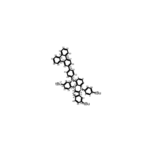 CC(C)(C)c1ccc(N2c3cccc4c3N(c3ccc(C(C)(C)C)cc3N4c3ccc(-c4ccc5c6ccccc6c6ccccc6c5c4)cc3)c3sc4ccc(C(C)(C)C)cc4c32)cc1